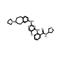 O=C(NC1CCOC1)c1ccccc1Nc1nc(Nc2ccc3c(c2)CC[C@@H](N2CCCC2)CC3)ncc1Cl